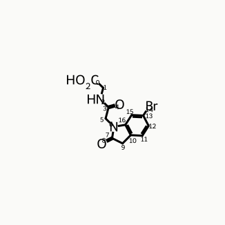 O=C(O)CNC(=O)CN1C(=O)Cc2ccc(Br)cc21